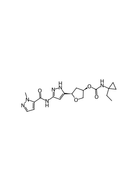 CCC1(NC(=O)O[C@H]2CO[C@@H](c3cc(NC(=O)c4ccnn4C)n[nH]3)C2)CC1